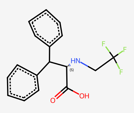 O=C(O)[C@@H](NCC(F)(F)F)C(c1ccccc1)c1ccccc1